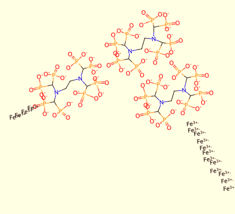 O=P([O-])([O-])C(N(CCN(C(P(=O)([O-])[O-])P(=O)([O-])[O-])C(P(=O)([O-])[O-])P(=O)([O-])[O-])C(P(=O)([O-])[O-])P(=O)([O-])[O-])P(=O)([O-])[O-].O=P([O-])([O-])C(N(CCN(C(P(=O)([O-])[O-])P(=O)([O-])[O-])C(P(=O)([O-])[O-])P(=O)([O-])[O-])C(P(=O)([O-])[O-])P(=O)([O-])[O-])P(=O)([O-])[O-].O=P([O-])([O-])C(N(CCN(C(P(=O)([O-])[O-])P(=O)([O-])[O-])C(P(=O)([O-])[O-])P(=O)([O-])[O-])C(P(=O)([O-])[O-])P(=O)([O-])[O-])P(=O)([O-])[O-].[Fe+3].[Fe+3].[Fe+3].[Fe+3].[Fe+3].[Fe+3].[Fe+3].[Fe+3].[Fe+3].[Fe+3].[Fe+3].[Fe+3].[Fe+3].[Fe+3].[Fe+3].[Fe+3]